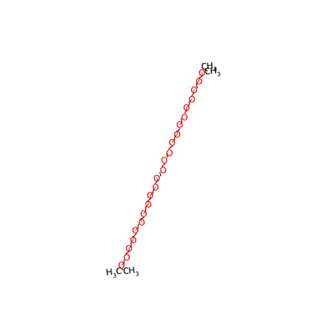 CC(C)OCCOCCOCCOCCOCCOCCOCCOCCOCCOCCOCCOCCOCCOCCOCCOCCOCCOCCOCCOCCOCCOCCOC(C)C